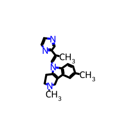 CC(=Cn1c2c(c3cc(C)ccc31)CN(C)CC2)c1cnccn1